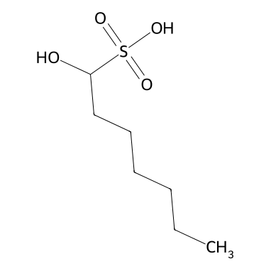 CCCCCCC(O)S(=O)(=O)O